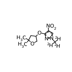 [2H]C([2H])([2H])n1cc([N+](=O)[O-])c(OC2COC(C)(C)C2)n1